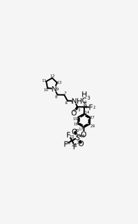 C[C@@](F)(C(=O)NCCCN1CCCC1)c1ccc(OS(=O)(=O)C(F)(F)F)cc1